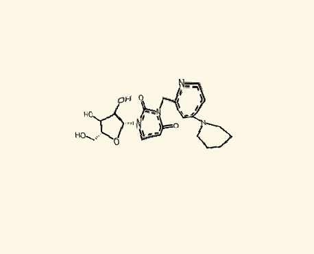 O=c1ccn([C@@H]2O[C@H](CO)C(O)C2O)c(=O)n1Cc1cc(N2CCCCC2)ccn1